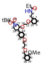 CCC(=O)NCCc1ccccc1OCCOC1CN(C(=O)OC(C)(C)C)CCC1c1ccc(OCCCOCc2ccccc2OC)cc1